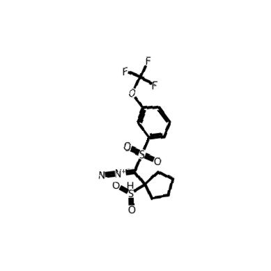 [N-]=[N+]=C(C1([SH](=O)=O)CCCC1)S(=O)(=O)c1cccc(OC(F)(F)F)c1